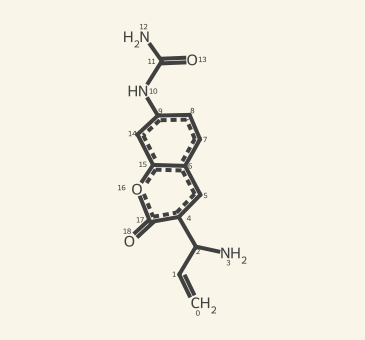 C=CC(N)c1cc2ccc(NC(N)=O)cc2oc1=O